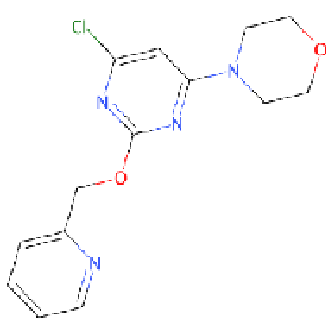 Clc1cc(N2CCOCC2)nc(OCc2ccccn2)n1